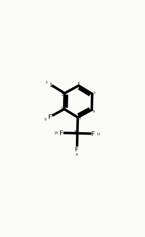 Fc1c(I)cccc1C(F)(F)F